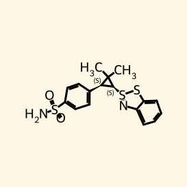 CC1(C)[C@H](c2ccc(S(N)(=O)=O)cc2)[C@@H]1S1=Nc2ccccc2S1